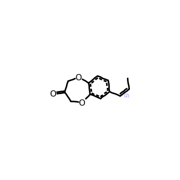 C/C=C\c1ccc2c(c1)OCC(=O)CO2